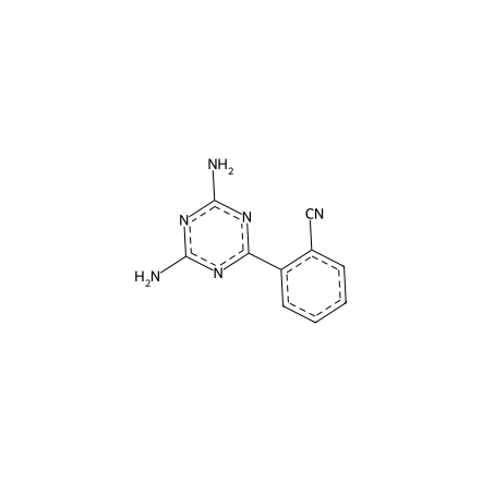 N#Cc1ccccc1-c1nc(N)nc(N)n1